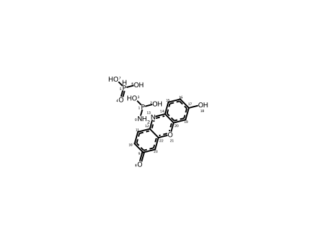 NP(O)O.O=[PH](O)O.O=c1ccc2nc3ccc(O)cc3oc-2c1